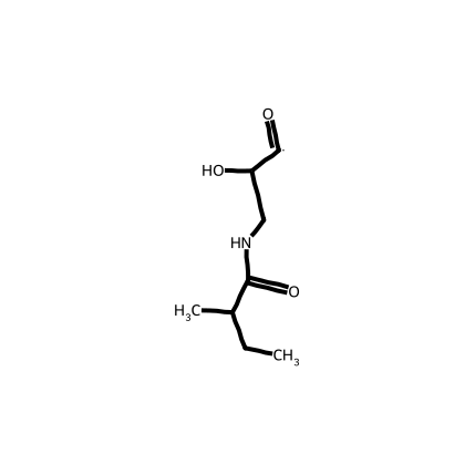 CCC(C)C(=O)NCC(O)[C]=O